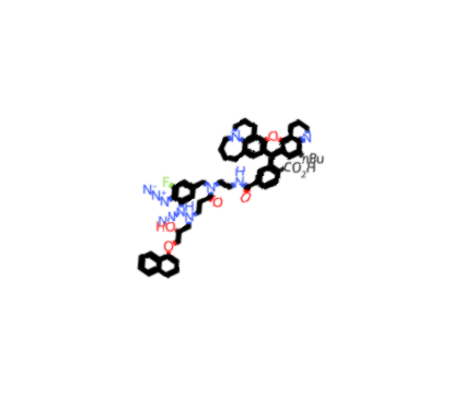 CCCCc1cc2c(c3c1=NCCC3)Oc1c(cc3c4c1CCCN4CCCC3)C=2c1cc(C(=O)NCCN(Cc2cc(F)c(N=[N+]=[N-])c(N=[N+]=[N-])c2)C(=O)CCNC[C@H](O)COc2cccc3ccccc23)ccc1C(=O)O